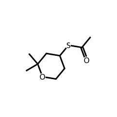 CC(=O)SC1CCOC(C)(C)C1